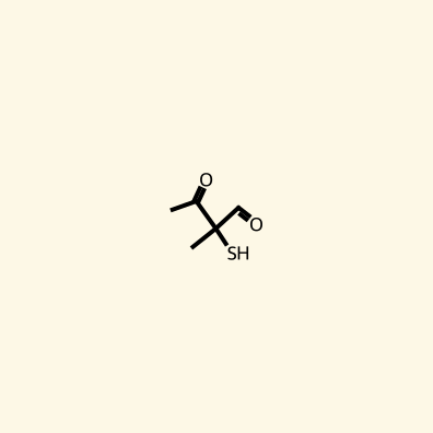 CC(=O)C(C)(S)C=O